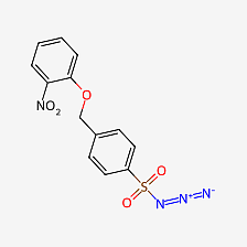 [N-]=[N+]=NS(=O)(=O)c1ccc(COc2ccccc2[N+](=O)[O-])cc1